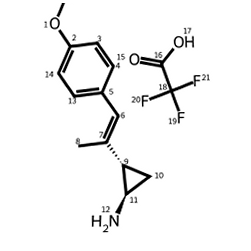 COc1ccc(/C=C(\C)[C@@H]2C[C@H]2N)cc1.O=C(O)C(F)(F)F